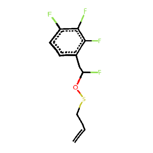 C=CCSOC(F)c1ccc(F)c(F)c1F